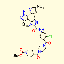 Cc1cc([N+](=O)[O-])cnc1-c1[nH]nc(C(F)(F)F)c1-c1cnc(C(=O)Nc2ccc(C(=O)N3CCN(C(=O)C4CCN(C(=O)OC(C)(C)C)CC4)CC3)c(Cl)c2)n1C